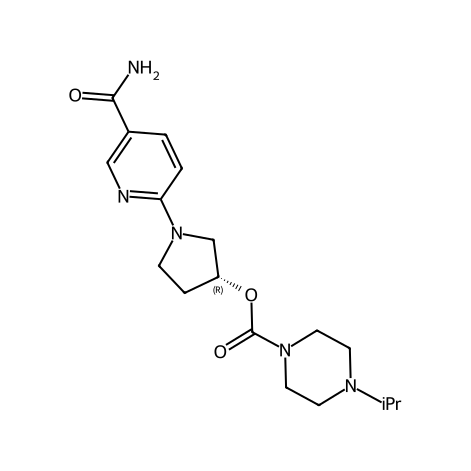 CC(C)N1CCN(C(=O)O[C@@H]2CCN(c3ccc(C(N)=O)cn3)C2)CC1